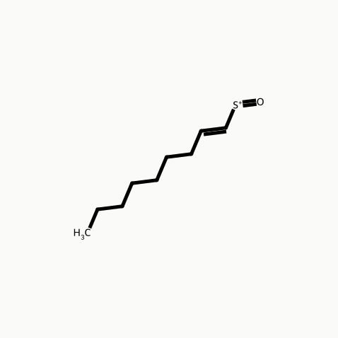 CCCCCCCC=C[S+]=O